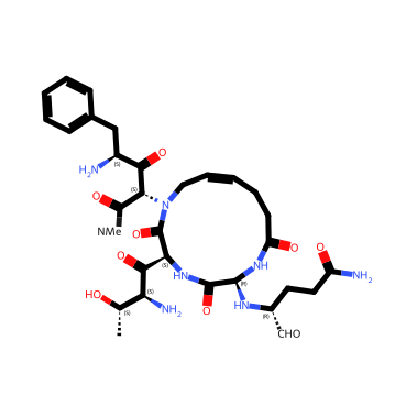 CNC(=O)[C@H](C(=O)[C@@H](N)Cc1ccccc1)N1CC=CCCC(=O)N[C@@H](N[C@@H](C=O)CCC(N)=O)C(=O)N[C@@H](C(=O)[C@@H](N)[C@H](C)O)C1=O